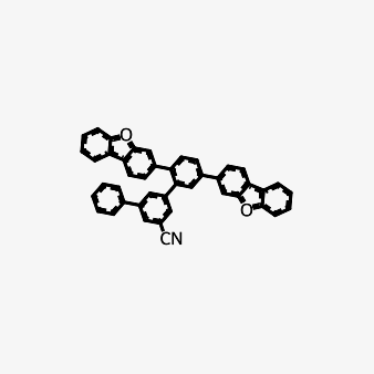 N#Cc1cc(-c2ccccc2)cc(-c2cc(-c3ccc4c(c3)oc3ccccc34)ccc2-c2ccc3c(c2)oc2ccccc23)c1